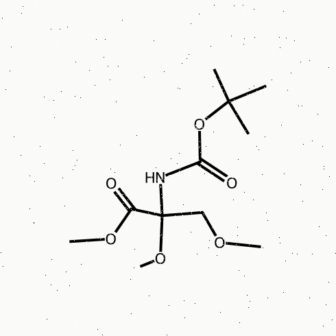 COCC(NC(=O)OC(C)(C)C)(OC)C(=O)OC